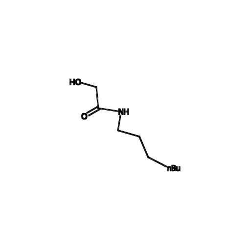 CCCCCCCNC(=O)CO